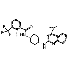 CN(C)c1nc(N[C@H]2CC[C@@H](NC(=O)c3cccc(C(F)(F)F)c3F)CC2)nc2ccccc12